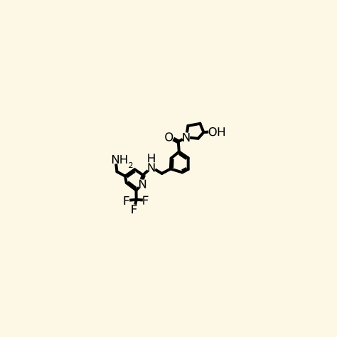 NCc1cc(NCc2cccc(C(=O)N3CCC(O)C3)c2)nc(C(F)(F)F)c1